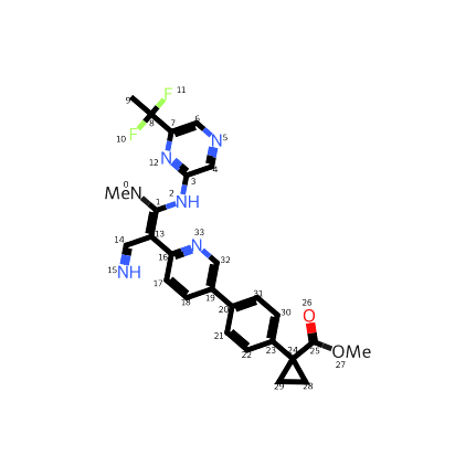 CN/C(Nc1cncc(C(C)(F)F)n1)=C(\C=N)c1ccc(-c2ccc(C3(C(=O)OC)CC3)cc2)cn1